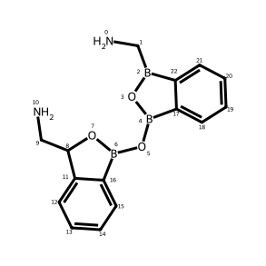 NCB1OB(OB2OC(CN)c3ccccc32)c2ccccc21